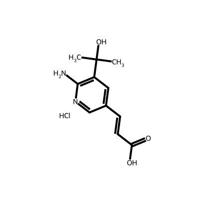 CC(C)(O)c1cc(/C=C/C(=O)O)cnc1N.Cl